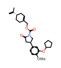 C=C(C)[C@@H]1CC=C(COC(=O)N2CC(c3ccc(OC)c(OC4CCCC4)c3)CC2=O)CC1